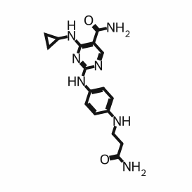 NC(=O)CCNc1ccc(Nc2ncc(C(N)=O)c(NC3CC3)n2)cc1